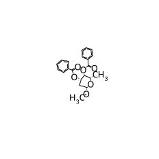 CO[C@@H]1C[C@H](OC(=O)c2ccccc2)[C@H](OC(=O)c2ccccc2)[C@H](C)O1